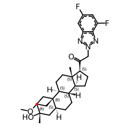 COCC[C@]12CC[C@@](C)(O)C[C@@H]1CC[C@H]1[C@@H]3CC[C@H](C(=O)Cn4nc5cc(F)cc(F)c5n4)[C@@]3(C)CC[C@@H]12